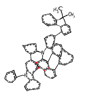 CC1(C)c2ccccc2-c2c(-c3ccc(N(c4ccccc4-c4ccc5c6ccccc6n(-c6ccccc6)c5c4)c4ccccc4-c4cccc5cccc(-c6ccccc6)c45)cc3)cccc21